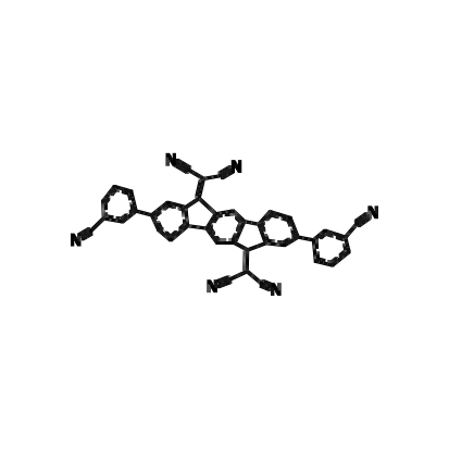 N#CC(C#N)=C1c2cc(-c3cccc(C#N)c3)ccc2-c2cc3c(cc21)-c1ccc(-c2cccc(C#N)c2)cc1C3=C(C#N)C#N